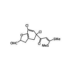 CSC(=CC(=O)C1(Cl)C=C(Cl)C2=C(CC(C=O)O2)C1)SC